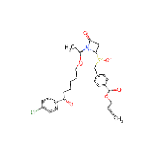 C=CCOC(=O)c1ccc(C[S+]([O-])C2CC(=O)N2C(C)OCCCCCC(=O)c2ccc(Cl)cc2)cc1